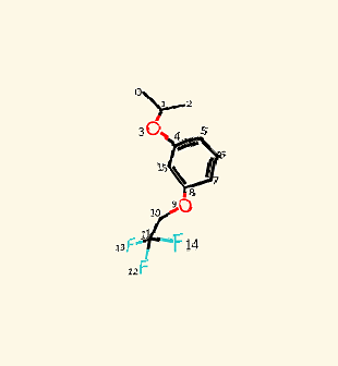 CC(C)Oc1c[c]cc(OCC(F)(F)F)c1